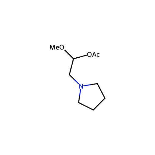 COC(CN1CCCC1)OC(C)=O